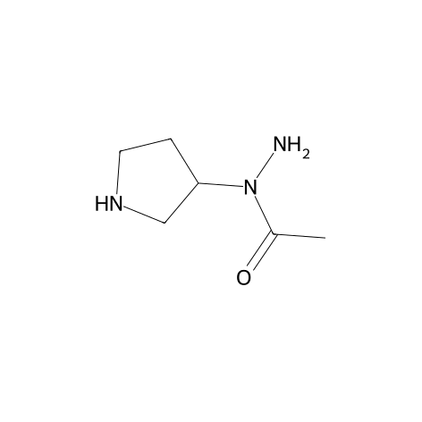 CC(=O)N(N)C1CCNC1